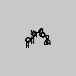 C[C@@H](CO)Oc1ccn2c(-c3cncc(N[C@@H]4CCCNC4)n3)cnc2c1